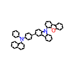 c1ccc(N(c2ccc(-c3ccc4c(c3)c3ccccc3n4-c3cccc4c3oc3ccccc34)cc2)c2cccc3ccccc23)cc1